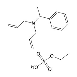 C=CCN(CC=C)C(C)c1ccccc1.CCOS(=O)(=O)O